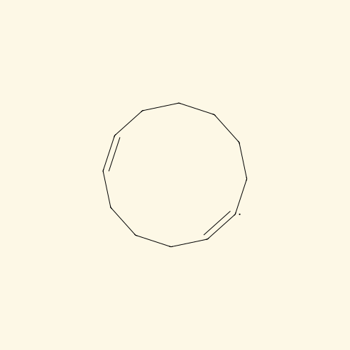 [C]1=CCCCC=CCCCCC1